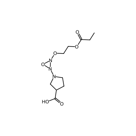 CCC(=O)OCCOn1on1N1CCC(C(=O)O)C1